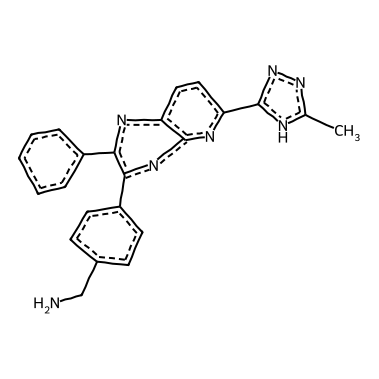 Cc1nnc(-c2ccc3nc(-c4ccccc4)c(-c4ccc(CN)cc4)nc3n2)[nH]1